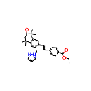 CCOC(=O)c1ccc(/C=C/c2cc3c(cc2Cn2cccn2)C(C)(C)CC(=O)C3(C)C)cc1